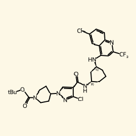 CC(C)(C)OC(=O)N1CCC(n2cc(C(=O)N[C@@H]3CCC[C@H](Nc4cc(C(F)(F)F)nc5ccc(Cl)cc45)C3)c(Cl)n2)CC1